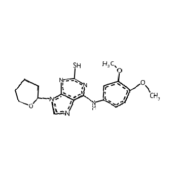 COc1ccc(Nc2nc(S)nc3c2ncn3C2CCCCO2)cc1OC